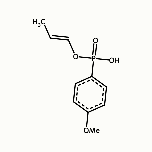 CC=COP(=O)(O)c1ccc(OC)cc1